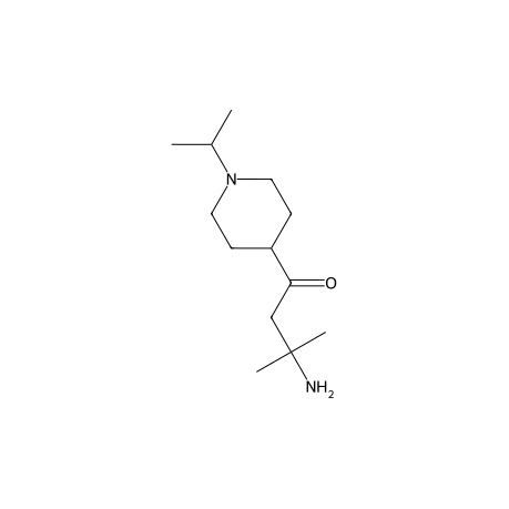 CC(C)N1CCC(C(=O)CC(C)(C)N)CC1